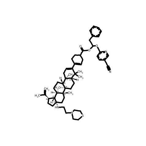 C=C(C)[C@@H]1CC[C@]2(NCCN3CCSCC3)CC[C@]3(C)[C@H](CC[C@@H]4[C@@]5(C)CC=C(C6=CCC(C(=O)OC(Cc7ccccc7)Oc7ccc(C#N)cn7)CC6)C(C)(C)[C@@H]5CC[C@]43C)[C@@H]12